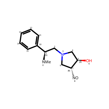 CN[C@H](CN1C[C@@H](O)[C@H](N=O)C1)c1ccccc1